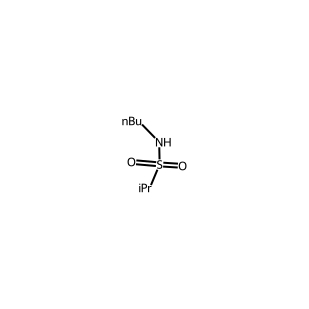 CCCCNS(=O)(=O)C(C)C